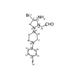 NC1=C(Br)CN(N2CCN(c3ccc(F)cc3)CC2)N1CC=O